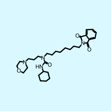 O=C(NC1CCCCC1)N(CCCCCCCCN1C(=O)c2ccccc2C1=O)CCCN1CCOCC1